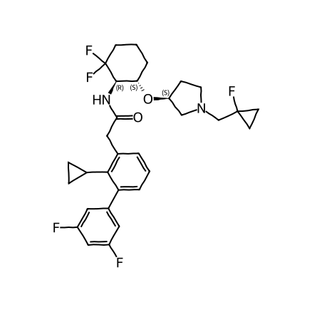 O=C(Cc1cccc(-c2cc(F)cc(F)c2)c1C1CC1)N[C@@H]1[C@@H](O[C@H]2CCN(CC3(F)CC3)C2)CCCC1(F)F